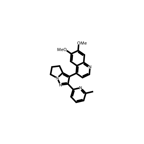 COc1cc2nccc(-c3c(-c4cccc(C)n4)nn4c3CCC4)c2cc1OC